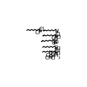 C=CCCCCCCN(C)C.C=CCCCCCC[Si](Cl)(Cl)Cl.C=CCCCCCC[Si](OC)(OC)OC.CCCCCCCC[Si](C)(C)Cl.CCCCCCCC[Si](C)(Cl)Cl.CCCCCCCC[Si](Cl)(Cl)Cl.Cl[SiH2]Cl.[SiH3]Cl